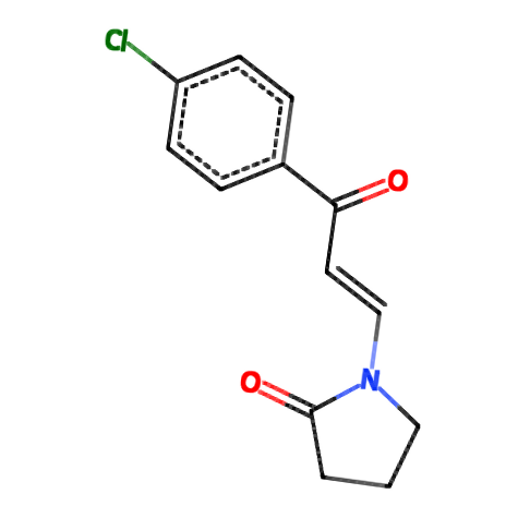 O=C(C=CN1CCCC1=O)c1ccc(Cl)cc1